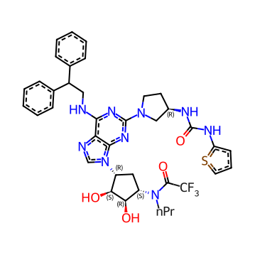 CCCN(C(=O)C(F)(F)F)[C@H]1C[C@@H](n2cnc3c(NCC(c4ccccc4)c4ccccc4)nc(N4CC[C@@H](NC(=O)Nc5cccs5)C4)nc32)[C@H](O)[C@@H]1O